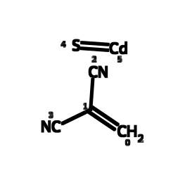 C=C(C#N)C#N.[S]=[Cd]